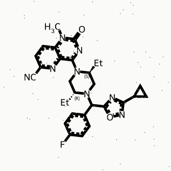 CC[C@H]1CN(C(c2ccc(F)cc2)c2nc(C3CC3)no2)[C@H](CC)CN1c1nc(=O)n(C)c2ccc(C#N)nc12